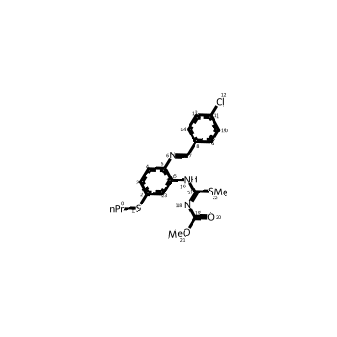 CCCSc1ccc(N=Cc2ccc(Cl)cc2)c(NC(=NC(=O)OC)SC)c1